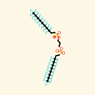 O=S(=O)(CCC(F)(F)C(F)(F)C(F)(F)C(F)(F)C(F)(F)C(F)(F)C(F)(F)C(F)(F)F)OCCCOS(=O)(=O)CCC(F)(F)C(F)(F)C(F)(F)C(F)(F)C(F)(F)C(F)(F)C(F)(F)C(F)(F)F